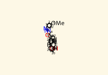 COc1ccc2nnn(CC(=O)[C@H]3CC[C@H]4[C@@H]5CC[C@H]6C7C[C@@]7(O)CC[C@@H]6[C@H]5CC[C@]34C)c2c1